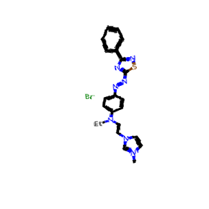 CCN(CCn1cc[n+](C)c1)c1ccc(N=Nc2nc(-c3ccccc3)ns2)cc1.[Br-]